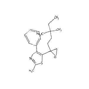 CCC(C)(C)CCC1(c2sc(C)nc2-c2ccccc2)CO1